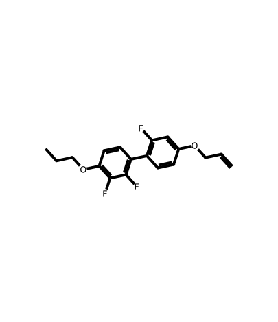 C=CCOc1ccc(-c2ccc(OCCC)c(F)c2F)c(F)c1